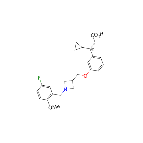 COc1ccc(F)cc1CN1CC(COc2cccc([C@@H](CC(=O)O)C3CC3)c2)C1